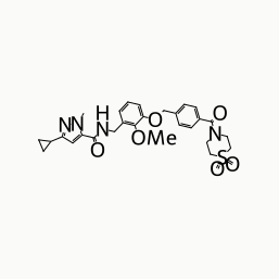 COc1c(CNC(=O)c2cc(C3CC3)nn2C)cccc1OCc1ccc(C(=O)N2CCS(=O)(=O)CC2)cc1